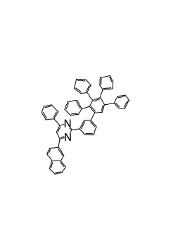 c1ccc(-c2cc(-c3ccc4ccccc4c3)nc(-c3cccc(-c4cc(-c5ccccc5)c(-c5ccccc5)c(-c5ccccc5)c4-c4ccccc4)c3)n2)cc1